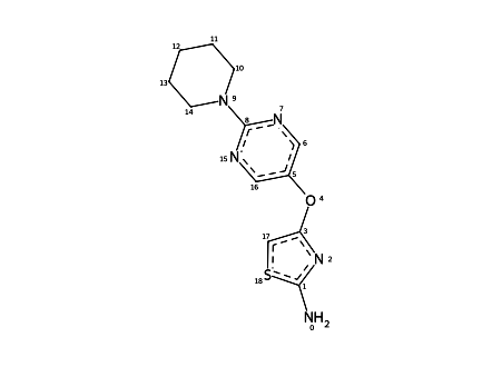 Nc1nc(Oc2cnc(N3CCCCC3)nc2)cs1